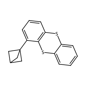 c1ccc2c(c1)Sc1cccc(C34CC(C3)C4)c1S2